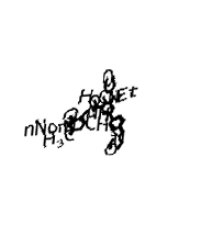 CCCCCCCCCN1C(=O)C(CNC(=O)c2cc(-c3ccc(CN4CCOCC4)cc3)cc(N(CC)C3CCOCC3)c2C)C(C)CC1C